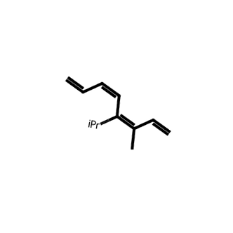 C=C/C=C\C(=C(\C)C=C)C(C)C